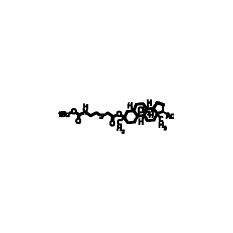 CC(=O)[C@H]1CC[C@H]2[C@@H]3CC[C@H]4C[C@](C)(OC(=O)CSCCNC(=O)OC(C)(C)C)CC[C@]4(C)[C@H]3CC[C@]12C